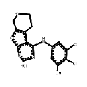 Cl.Oc1cc(Nc2ncnc3sc4c(c23)CCNC4)cc(Cl)c1Cl